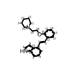 C(=C\c1cccc2[nH]ccc12)/c1ccccc1OCCN1CCCCC1